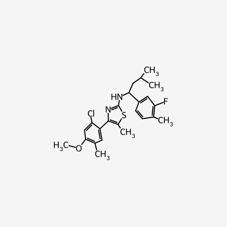 COc1cc(Cl)c(-c2nc(NC(CC(C)C)c3ccc(C)c(F)c3)sc2C)cc1C